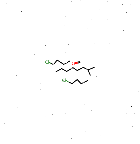 C=O.CCCCCCC(C)C.CCCCCl.CCCCCl